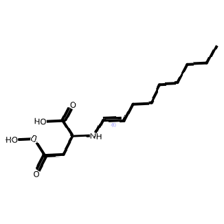 CCCCCCC/C=C/NC(CC(=O)OO)C(=O)O